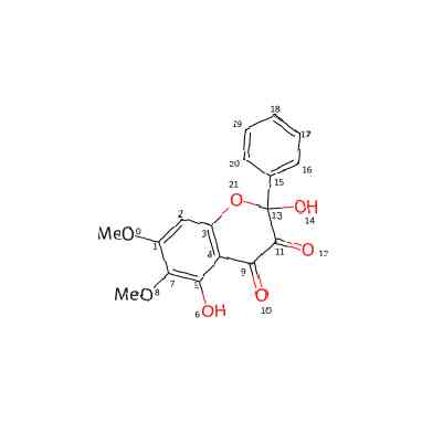 COc1cc2c(c(O)c1OC)C(=O)C(=O)C(O)(c1ccccc1)O2